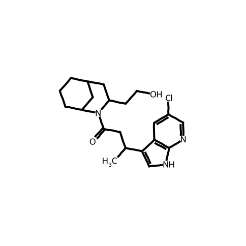 CC(CC(=O)N1C(CCO)CC2CCCC1C2)c1c[nH]c2ncc(Cl)cc12